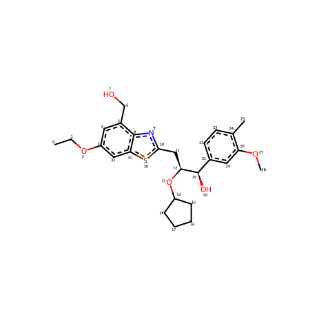 CCOc1cc(CO)c2nc(C[C@H](OC3CCCC3)[C@H](O)c3ccc(C)c(OC)c3)sc2c1